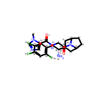 Cn1cncc1C(=O)NCC(=O)N1C2CCC1CC([C@H](N)Cc1cc(F)c(F)cc1F)C2